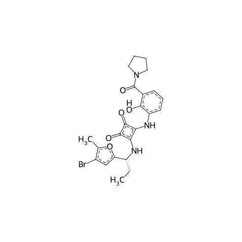 CC[C@@H](Nc1c(Nc2cccc(C(=O)N3CCCC3)c2O)c(=O)c1=O)c1cc(Br)c(C)o1